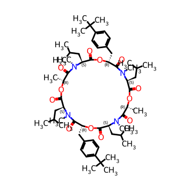 CC(C)C[C@H]1C(=O)O[C@H](Cc2ccc(C(C)(C)C)cc2)C(=O)N(C)[C@@H](CC(C)C)C(=O)O[C@H](C)C(=O)N(C)[C@@H](CC(C)C)C(=O)O[C@H](Cc2ccc(C(C)(C)C)cc2)C(=O)N(C)[C@@H](CC(C)C)C(=O)O[C@H](C)C(=O)N1C